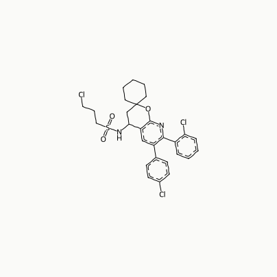 O=S(=O)(CCCCl)NC1CC2(CCCCC2)Oc2nc(-c3ccccc3Cl)c(-c3ccc(Cl)cc3)cc21